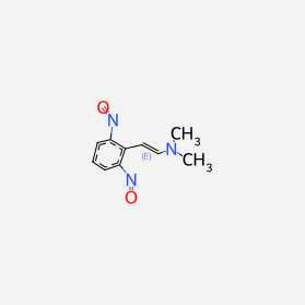 CN(C)/C=C/c1c(N=O)cccc1N=O